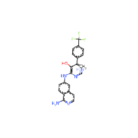 C=C(/C(O)=C(\N=C/N)Nc1ccc2c(N)nccc2c1)c1ccc(C(F)(F)F)cc1